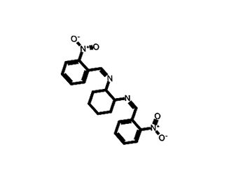 O=[N+]([O-])c1ccccc1/C=N\C1CCCCC1/N=C\c1ccccc1[N+](=O)[O-]